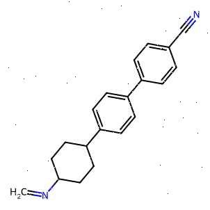 C=NC1CCC(c2ccc(-c3ccc(C#N)cc3)cc2)CC1